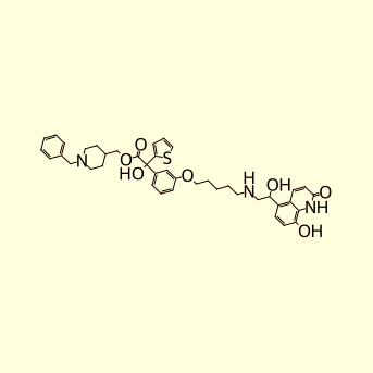 O=C(OCC1CCN(Cc2ccccc2)CC1)C(O)(c1cccc(OCCCCCNCC(O)c2ccc(O)c3[nH]c(=O)ccc23)c1)c1cccs1